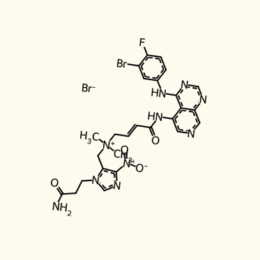 C[N+](C)(C/C=C/C(=O)Nc1cncc2ncnc(Nc3ccc(F)c(Br)c3)c12)Cc1c([N+](=O)[O-])ncn1CCC(N)=O.[Br-]